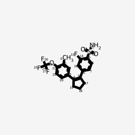 Cc1cc(C2=C(c3ccc(S(N)(=O)=O)c(F)c3)CCC2)ccc1OC(F)(F)F